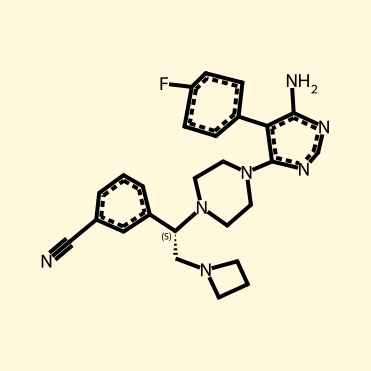 N#Cc1cccc([C@@H](CN2CCC2)N2CCN(c3ncnc(N)c3-c3ccc(F)cc3)CC2)c1